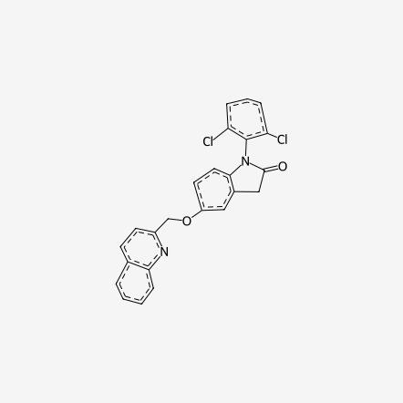 O=C1Cc2cc(OCc3ccc4ccccc4n3)ccc2N1c1c(Cl)cccc1Cl